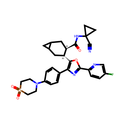 N#CC1(NC(=O)[C@@H]2CC3CC3C[C@H]2c2oc(-c3ccc(F)cn3)nc2-c2ccc(N3CCS(=O)(=O)CC3)cc2)CC1